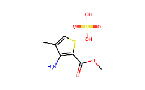 COC(=O)c1scc(C)c1N.O=S(=O)(O)O